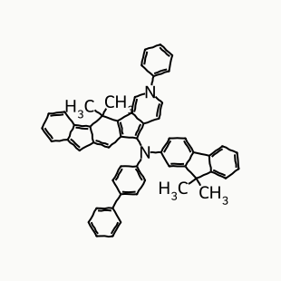 CC1(C)C2=c3ccccc3=CC2=Cc2c(N(c3ccc(-c4ccccc4)cc3)c3ccc4c(c3)C(C)(C)c3ccccc3-4)c3ccn(-c4ccccc4)cc-3c21